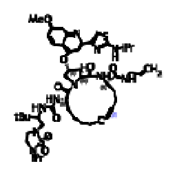 C=CCNC(=O)[C@@H]1CC/C=C\CCCCC[C@H](NC(=O)NC(CN2CCN(C(C)C)S2(=O)=O)C(C)(C)C)C(=O)N2C[C@H](Oc3cc(-c4csc(NC(C)C)n4)nc4cc(OC)ccc34)C[C@H]2C(=O)N1